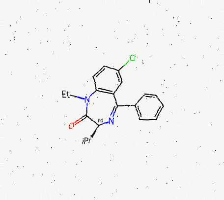 CCN1C(=O)[C@H](C(C)C)N=C(c2ccccc2)c2cc(Cl)ccc21